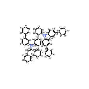 c1ccc(-c2cccc(N(c3cccc(-c4ccccc4-n4c5ccc(-c6ccccc6)cc5c5cc(-c6ccccc6)ccc54)c3)c3cc4ccccc4c4ccccc34)c2)cc1